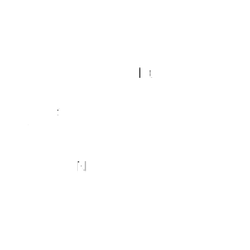 Cc1ccccc1C1CC2CCN1CC2